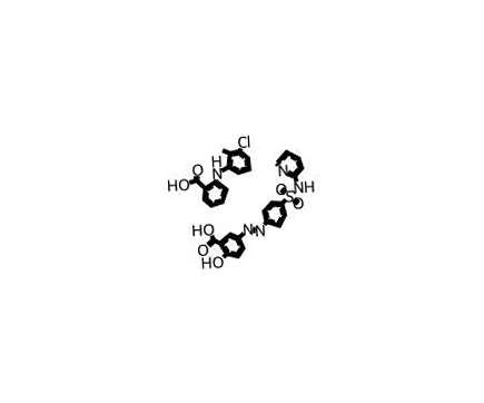 Cc1c(Cl)cccc1Nc1ccccc1C(=O)O.O=C(O)c1cc(/N=N/c2ccc(S(=O)(=O)Nc3ccccn3)cc2)ccc1O